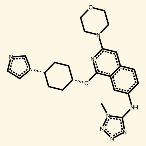 Cn1nnnc1Nc1ccc2cc(N3CCOCC3)nc(O[C@H]3CC[C@@H](n4ccnc4)CC3)c2c1